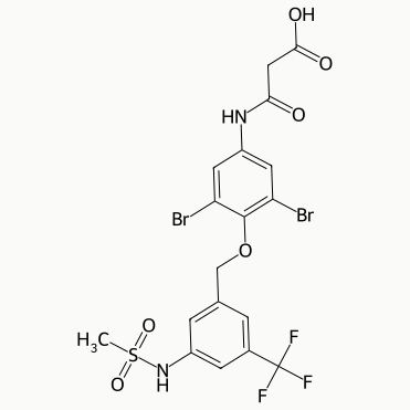 CS(=O)(=O)Nc1cc(COc2c(Br)cc(NC(=O)CC(=O)O)cc2Br)cc(C(F)(F)F)c1